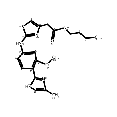 CCCCNC(=O)Cc1csc(Nc2ccc(-c3nc(C)c[nH]3)c(OC)c2)n1